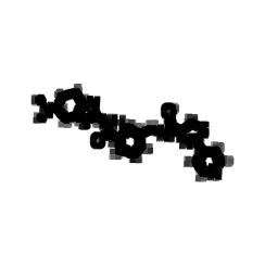 CN(C)[C@H]1CCc2nc(NC(=O)c3cccc(CNC(=O)C4CSC(c5ccncc5)=N4)c3)sc2C1